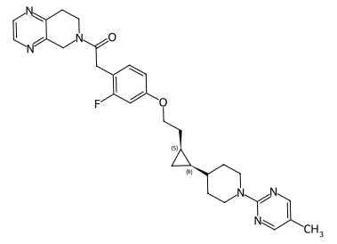 Cc1cnc(N2CCC([C@H]3C[C@H]3CCOc3ccc(CC(=O)N4CCc5nccnc5C4)c(F)c3)CC2)nc1